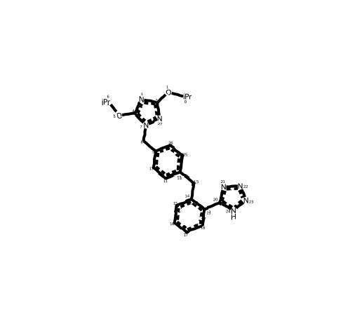 CC(C)Oc1nc(OC(C)C)n(Cc2ccc(Cc3ccccc3-c3nnn[nH]3)cc2)n1